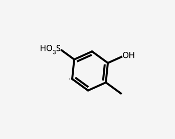 Cc1c[c]c(S(=O)(=O)O)cc1O